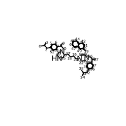 CC(C)Cc1ccc(C(C)CN2CCNC[C@@H]2CCCCN2CCN(CC(C)c3ccc(CC(C)C)cc3)[C@@H](Cc3ccc4ccccc4c3)C2)cc1